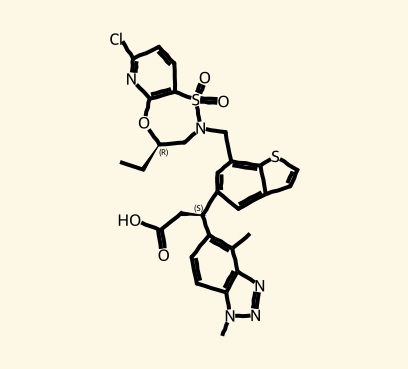 CC[C@@H]1CN(Cc2cc([C@H](CC(=O)O)c3ccc4c(nnn4C)c3C)cc3ccsc23)S(=O)(=O)c2ccc(Cl)nc2O1